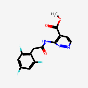 COC(=O)c1ccnnc1NC(=O)Cc1c(F)cc(F)cc1F